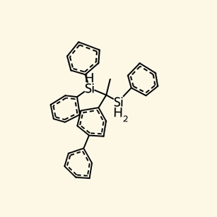 CC([SiH2]c1ccccc1)(c1ccc(-c2ccccc2)cc1)[SiH](c1ccccc1)c1ccccc1